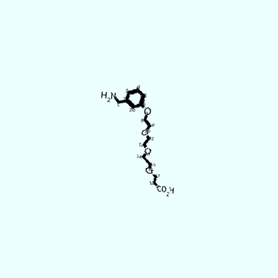 NCc1cccc(OCCOCCOCCOCCC(=O)O)c1